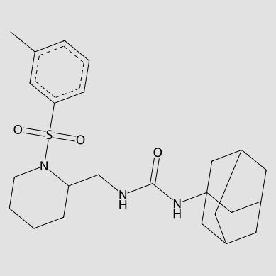 Cc1cccc(S(=O)(=O)N2CCCCC2CNC(=O)NC23CC4CC(CC(C4)C2)C3)c1